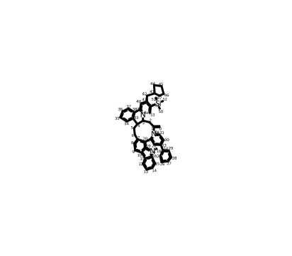 C=C1CC2C(CCc3ccc4c5ccccc5n(C)c4c3-c3cc(-c4ccccc4)cc[n+]31)c1ccccc1-c1cc(CC3CCCC3)c([Si](C)(C)C)c[n+]12